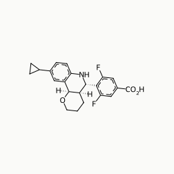 O=C(O)c1cc(F)c([C@H]2Nc3ccc(C4CC4)cc3[C@@H]3OCCC[C@H]23)c(F)c1